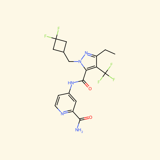 CCc1nn(CC2CC(F)(F)C2)c(C(=O)Nc2ccnc(C(N)=O)c2)c1C(F)(F)F